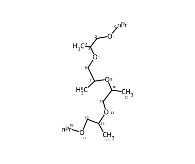 CCCOCC(C)OCC(C)OC(C)COC(C)COCCC